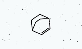 C1=CC2CC[C]1CC2